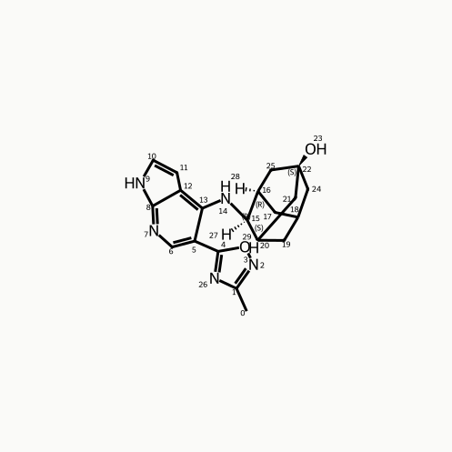 Cc1noc(-c2cnc3[nH]ccc3c2N[C@H]2[C@@H]3CC4C[C@H]2C[C@@](O)(C4)C3)n1